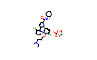 CCN(C)CCCOc1cc(-c2nc(C(=O)NC3CCCCC3)ccc2-c2ncccc2Cl)ccc1Cl.Cl.O=C(O)O